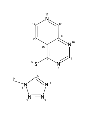 Cn1nnnc1Sc1ncnc2cnccc12